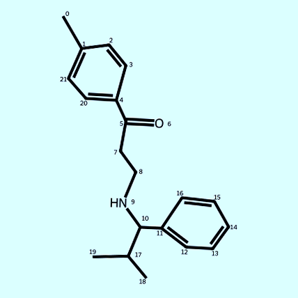 Cc1ccc(C(=O)CCNC(c2ccccc2)C(C)C)cc1